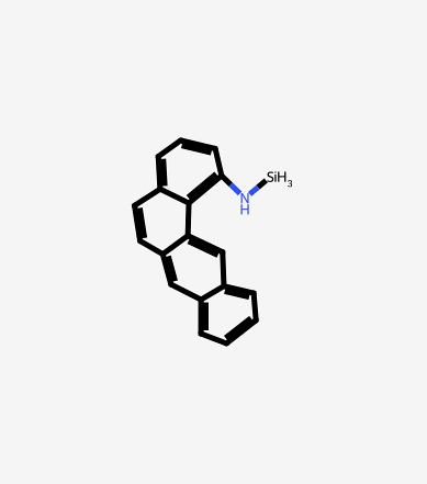 [SiH3]Nc1cccc2ccc3cc4ccccc4cc3c12